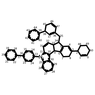 C1=CC(C2=CC3=C(CC2)C2c4c(n(-c5ccc(-c6ccccc6)cc5)c5ccccc45)C=CC2C3CC2=CC(c3ccccc3)CC=C2)CCC1